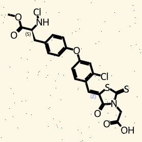 COC(=O)[C@H](Cc1ccc(Oc2ccc(/C=C3\SC(=S)N(CC(=O)O)C3=O)c(Cl)c2)cc1)NCl